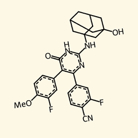 COc1ccc(-c2c(-c3ccc(C#N)c(F)c3)nc(NC34CC5CC(CC(O)(C5)C3)C4)[nH]c2=O)cc1F